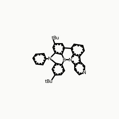 CC(C)(C)c1ccc2c(c1)N(c1ccccc1)c1cc(C(C)(C)C)cc3c1B2n1c2ccncc2c2cccc-3c21